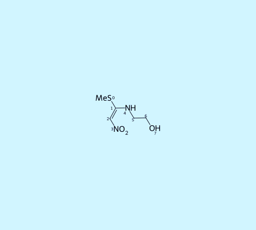 CSC(=C[N+](=O)[O-])NCCO